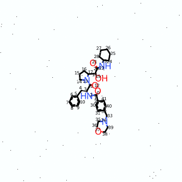 O=C(N[C@@H](Cc1ccccc1)C(=O)N1CCCC1C(O)C(=O)NC1CCCCC1)c1ccc(CN2CCOCC2)cc1